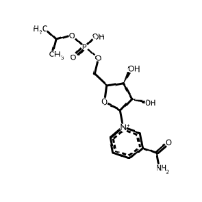 CC(C)OP(=O)(O)OCC1OC([n+]2cccc(C(N)=O)c2)[C@H](O)[C@@H]1O